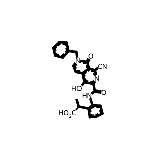 C[C@H](C(=O)O)c1ccccc1NC(=O)c1nc(C#N)c2c(=O)n(Cc3ccccc3)ccc2c1O